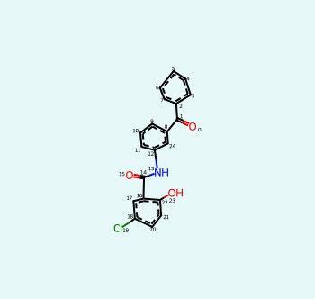 O=C(c1ccccc1)c1cccc(NC(=O)c2cc(Cl)ccc2O)c1